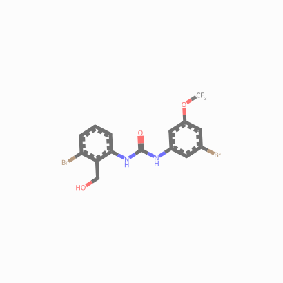 O=C(Nc1cc(Br)cc(OC(F)(F)F)c1)Nc1cccc(Br)c1CO